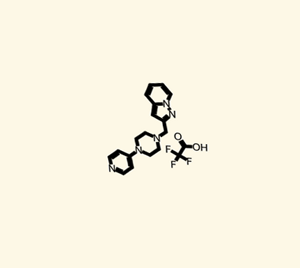 O=C(O)C(F)(F)F.c1ccn2nc(CN3CCN(c4ccncc4)CC3)cc2c1